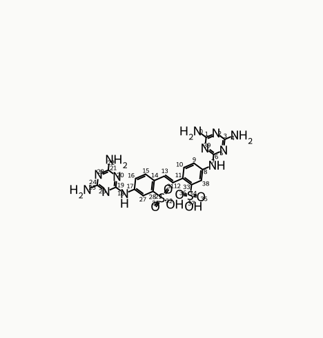 Nc1nc(N)nc(Nc2ccc(C=Cc3ccc(Nc4nc(N)nc(N)n4)cc3S(=O)(=O)O)c(S(=O)(=O)O)c2)n1